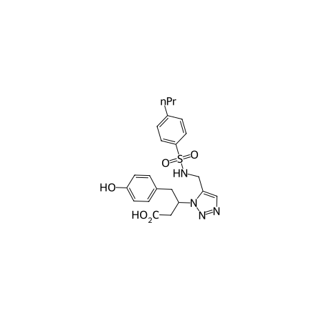 CCCc1ccc(S(=O)(=O)NCc2cnnn2C(CC(=O)O)Cc2ccc(O)cc2)cc1